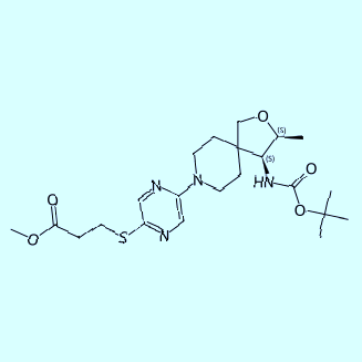 COC(=O)CCSc1cnc(N2CCC3(CC2)CO[C@@H](C)[C@H]3NC(=O)OC(C)(C)C)cn1